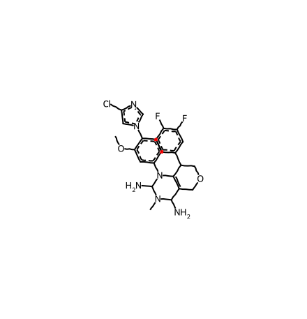 COc1cc(N2C3=C(COCC3c3ccc(F)c(F)c3)C(N)N(C)C2N)ccc1-n1cnc(Cl)c1